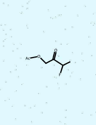 CC(=O)OCC(=O)C(C)F